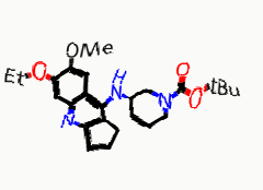 CCOc1cc2nc3c(c(N[C@@H]4CCCN(C(=O)OC(C)(C)C)C4)c2cc1OC)CCC3